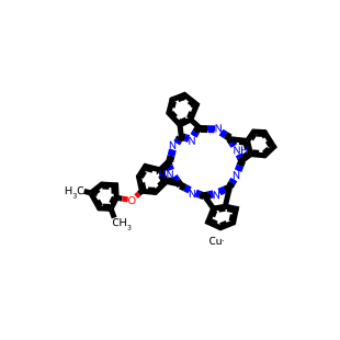 Cc1ccc(Oc2ccc3c4nc5nc(nc6[nH]c(nc7nc(nc([nH]4)c3c2)-c2ccccc2-7)c2ccccc62)-c2ccccc2-5)c(C)c1.[Cu]